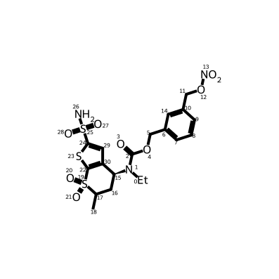 CCN(C(=O)OCc1cccc(CO[N+](=O)[O-])c1)[C@H]1CC(C)S(=O)(=O)c2sc(S(N)(=O)=O)cc21